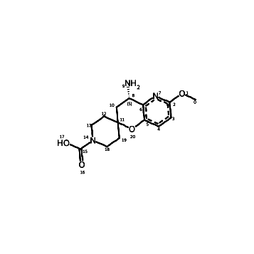 COc1ccc2c(n1)[C@@H](N)CC1(CCN(C(=O)O)CC1)O2